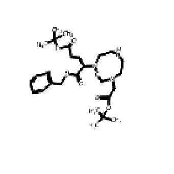 CC(C)(C)OC(=O)CCC(C(=O)OCc1ccccc1)N1CCNCCN(CC(=O)OC(C)(C)C)CC1